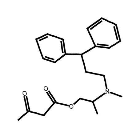 CC(=O)CC(=O)OCC(C)N(C)CCC(c1ccccc1)c1ccccc1